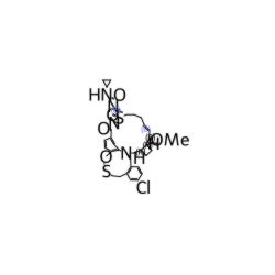 CO[C@H]1/C=C/CCCS(=O)(/C=N/C(=O)NC2CC2)=NC(=O)c2ccc3c(c2)N(Cc2ccc(Cl)cc2CCSCO3)C[C@@H]2CC[C@H]21